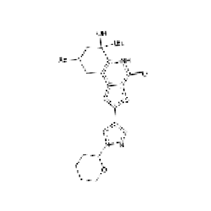 CC(=O)N1Cc2c([nH]c(=O)c3sc(-c4cnn(C5CCCCO5)c4)cc23)C(O)(C(C)(C)C)C1